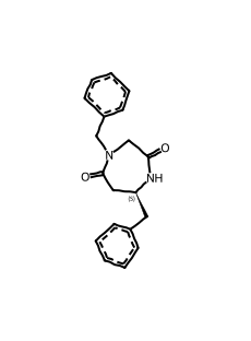 O=C1CN(Cc2ccccc2)C(=O)C[C@H](Cc2ccccc2)N1